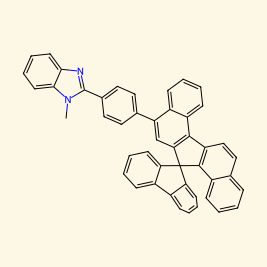 Cn1c(-c2ccc(-c3cc4c(c5ccccc35)-c3ccc5ccccc5c3C43c4ccccc4-c4ccccc43)cc2)nc2ccccc21